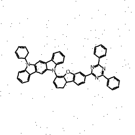 C1=CCC(n2c3ccccc3c3cc4c(cc32)c2ccccc2n4C2=C3Oc4cc(-c5nc(-c6ccccc6)nc(-c6ccccc6)n5)ccc4C3CC=C2)C=C1